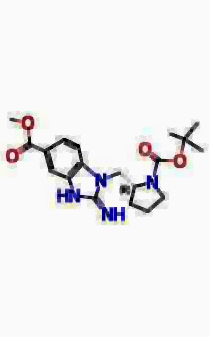 COC(=O)c1ccc2c(c1)[nH]c(=N)n2C[C@H]1CCCN1C(=O)OC(C)(C)C